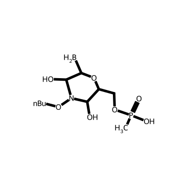 BC1OC(COP(C)(=O)O)C(O)N(OCCCC)C1O